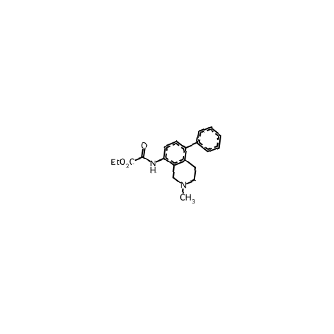 CCOC(=O)C(=O)Nc1ccc(-c2ccccc2)c2c1CN(C)CC2